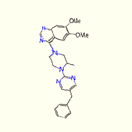 COc1cc2ncnc(N3CCN(c4ncc(Cc5ccccc5)cn4)C(C)C3)c2cc1OC